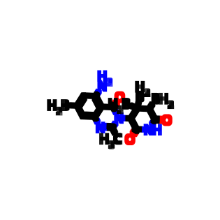 Bc1cc(N)c2c(=O)n(C3C(=O)NC(=O)C(B)C3(B)B)c(C)nc2c1